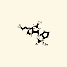 CC(C)(C)OC(=O)NN(c1nc(C#N)nc2c1ncn2CCO)C1CCCC1